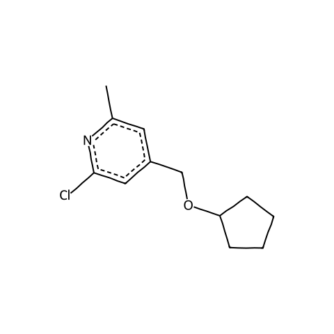 Cc1cc(COC2CCCC2)cc(Cl)n1